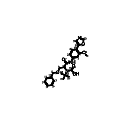 COc1cc(NC(=O)C(COCc2ccccc2)N(C(=O)O)C(C)(C)C)ccc1-c1cnco1